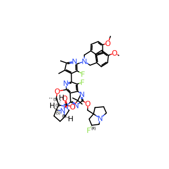 COc1ccc(CN(Cc2ccc(OC)cc2)c2nc(C)c(C)c(-c3nc4c5c(nc(OCC67CCCN6C[C@H](F)C7)nc5c3F)N3C[C@H]5CC[C@@H]([C@H]3[C@H](C)O4)N5C(=O)OC(C)(C)C)c2F)cc1